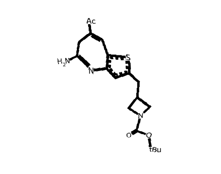 CC(=O)C1=Cc2sc(CC3CN(C(=O)OC(C)(C)C)C3)cc2N=C(N)C1